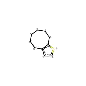 c1cc2c(s1)CCCCCC2